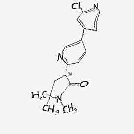 CN1C(=O)[C@@H](c2ccc(-c3ccnc(Cl)c3)cn2)CC1(C)C